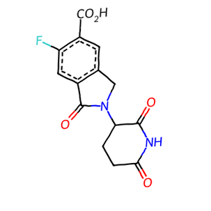 O=C1CCC(N2Cc3cc(C(=O)O)c(F)cc3C2=O)C(=O)N1